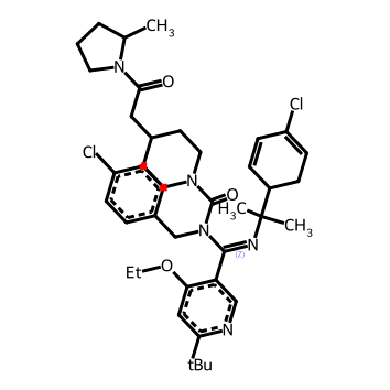 CCOc1cc(C(C)(C)C)ncc1/C(=N/C(C)(C)C1C=CC(Cl)=CC1)N(Cc1ccc(Cl)cc1)C(=O)N1CCC(CC(=O)N2CCCC2C)CC1